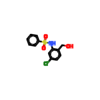 O=S(=O)(Nc1cc(Cl)ccc1CO)c1ccccc1